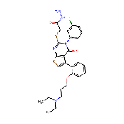 CCN(CC)CCCOc1ccccc1-c1csc2nc(SCC(=O)NN)n(-c3cccc(F)c3)c(=O)c12